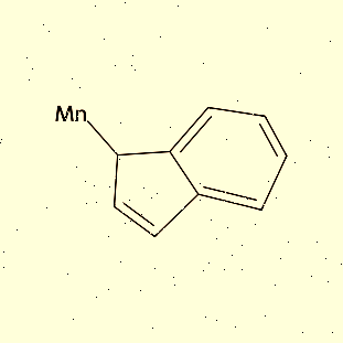 [Mn][CH]1C=Cc2ccccc21